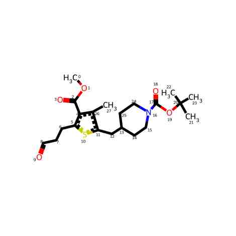 COC(=O)c1c(CCC=O)sc(CC2CCN(C(=O)OC(C)(C)C)CC2)c1C